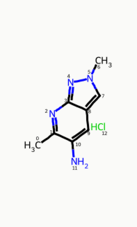 Cc1nc2nn(C)cc2cc1N.Cl